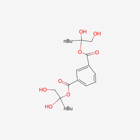 CCCCC(O)(CO)OC(=O)c1cccc(C(=O)OC(O)(CO)CCCC)c1